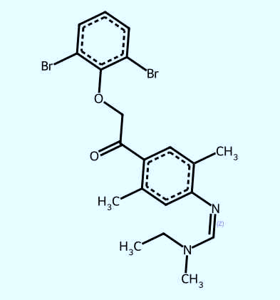 CCN(C)/C=N\c1cc(C)c(C(=O)COc2c(Br)cccc2Br)cc1C